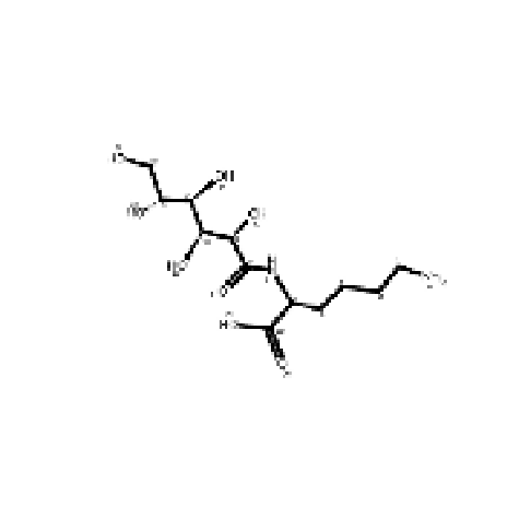 NCCCC[C@H](NC(=O)[C@H](O)[C@@H](O)[C@H](O)[C@H](O)CO)C(=O)O